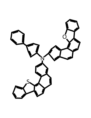 c1ccc(-c2ccc(N(c3ccc4c(ccc5ccc6c7ccccc7oc6c54)c3)c3ccc4c(ccc5ccc6c7ccccc7sc6c54)c3)cc2)cc1